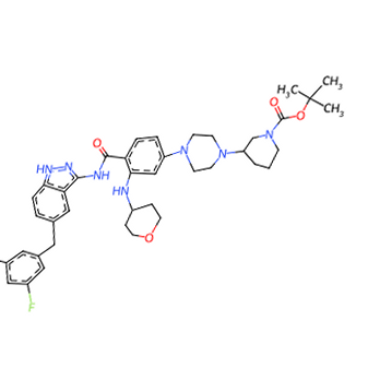 CC(C)(C)OC(=O)N1CCCC(N2CCN(c3ccc(C(=O)Nc4n[nH]c5ccc(Cc6cc(F)cc(F)c6)cc45)c(NC4CCOCC4)c3)CC2)C1